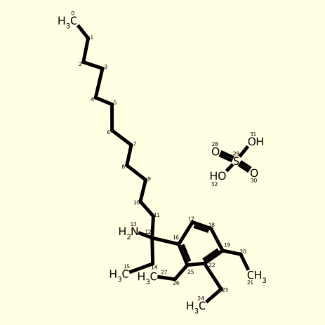 CCCCCCCCCCCCC(N)(CC)c1ccc(CC)c(CC)c1CC.O=S(=O)(O)O